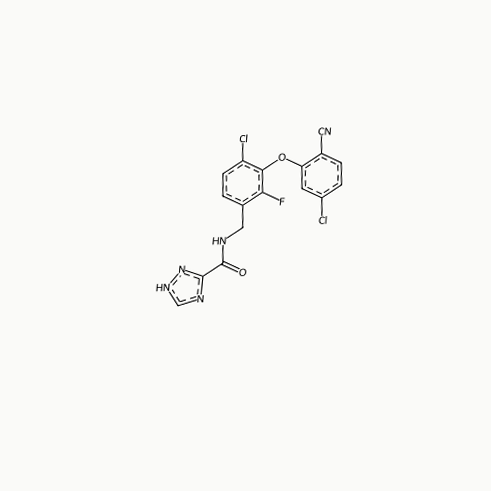 N#Cc1ccc(Cl)cc1Oc1c(Cl)ccc(CNC(=O)c2nc[nH]n2)c1F